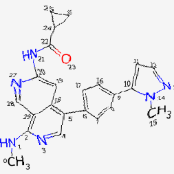 CNc1ncc(-c2ccc(-c3ccnn3C)cc2)c2cc(NC(=O)C3CC3)ncc12